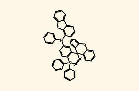 c1ccc(N(c2ccc3c(c2)C2(c4ccccc4Sc4ccccc42)c2ccccc2[Si]3(c2ccccc2)c2ccccc2)c2cccc3c2sc2ccccc23)cc1